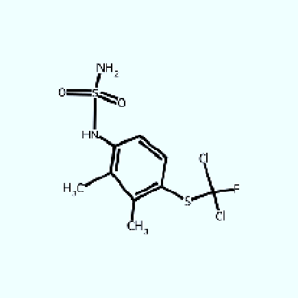 Cc1c(NS(N)(=O)=O)ccc(SC(F)(Cl)Cl)c1C